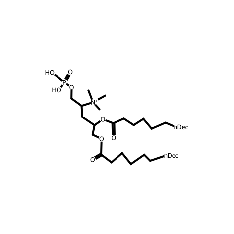 CCCCCCCCCCCCCCCC(=O)OCC(CC(COP(=O)(O)O)[N+](C)(C)C)OC(=O)CCCCCCCCCCCCCCC